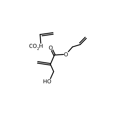 C=CC(=O)O.C=CCOC(=O)C(=C)CO